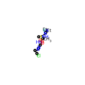 CCN(CC)C1CCN(CC[C@H](CSc2ccccc2)Nc2ccc(S(=O)(=O)NC(=O)c3ccc(N4CCN(Cc5ccccc5-c5ccc(Cl)cc5)CC4)cc3)cc2C)CC1F